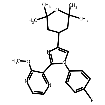 COc1nccnc1-c1nc(C2CC(C)(C)OC(C)(C)C2)cn1-c1ccc(F)cc1